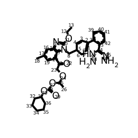 C/C=C(\C=C/C(CC)Cn1c(OCC)nc2cc(C)cc(C(=O)COC(C)OC(=O)OC3CCCCC3)c21)c1ccccc1/C(=N/N)NN